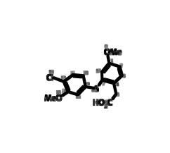 COc1ccc(CC(=O)O)c(Sc2ccc(Cl)c(OC)c2)c1